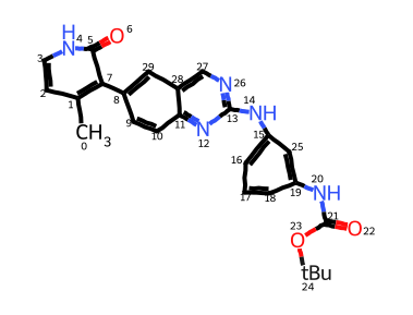 Cc1cc[nH]c(=O)c1-c1ccc2nc(Nc3cccc(NC(=O)OC(C)(C)C)c3)ncc2c1